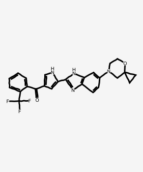 O=C(c1c[nH]c(-c2nc3ccc(N4CCOC5(CC5)C4)cc3[nH]2)c1)c1ccccc1C(F)(F)F